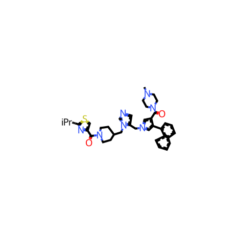 CC(C)c1nc(C(=O)N2CCC(Cn3cncc3Cn3cc(C(=O)N4CCN(C)CC4)c(-c4cccc5ccccc45)c3)CC2)cs1